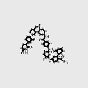 CN(CC1CCN(c2ccc(C3CCC(=O)NC3=O)cc2F)CC1)C1CCN(NC(=O)c2ccc(Nc3ncc(F)c(Nc4ccc(C(N)=O)c(-c5ccccc5Cl)c4)n3)cc2)CC1